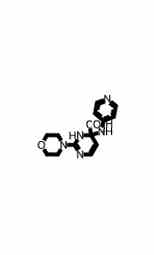 O=C(O)C1(Nc2ccncc2)C=CN=C(N2CCOCC2)N1